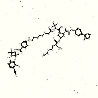 Cc1ncsc1-c1ccc([C@H](C)NC(=O)[C@@H]2CC(OC(=O)[C@@H](N)CCCCN)CN2C(=O)[C@@H](NC(=O)COCCCCCNc2ccc(C(=O)N[C@H]3C(C)(C)[C@H](Oc4ccc(C#N)c(Cl)c4)C3(C)C)cc2)C(C)(C)C)cc1